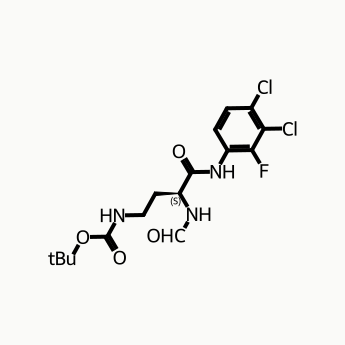 CC(C)(C)OC(=O)NCC[C@H](NC=O)C(=O)Nc1ccc(Cl)c(Cl)c1F